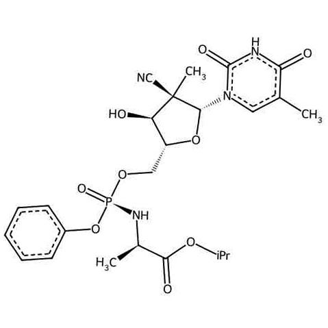 Cc1cn([C@@H]2O[C@H](CO[P@](=O)(N[C@H](C)C(=O)OC(C)C)Oc3ccccc3)[C@@H](O)[C@@]2(C)C#N)c(=O)[nH]c1=O